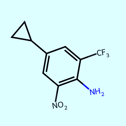 Nc1c([N+](=O)[O-])cc(C2CC2)cc1C(F)(F)F